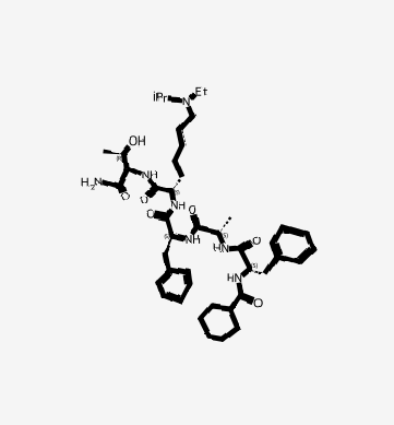 CCN(CCCCC[C@H](NC(=O)[C@H](Cc1ccccc1)NC(=O)[C@H](C)NC(=O)[C@H](Cc1ccccc1)NC(=O)C1CCCCC1)C(=O)NC(C(N)=O)[C@@H](C)O)C(C)C